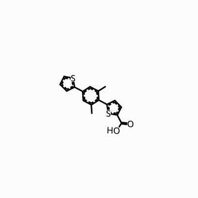 Cc1cc(-c2cccs2)cc(C)c1-c1ccc(C(=O)O)s1